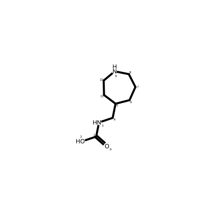 O=C(O)NCC1CCCNCC1